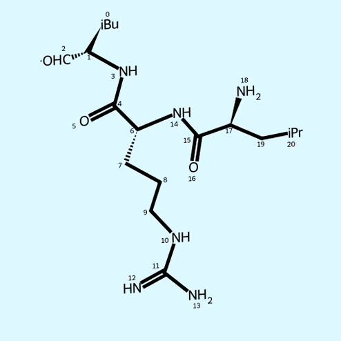 CC[C@H](C)[C@@H]([C]=O)NC(=O)[C@@H](CCCNC(=N)N)NC(=O)[C@@H](N)CC(C)C